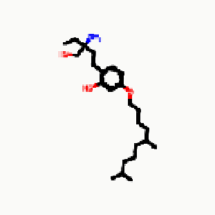 CC[C@@](N)(CO)CCc1ccc(OCCCCC(C)CCCC(C)C)cc1O